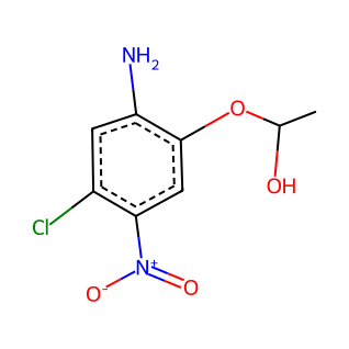 CC(O)Oc1cc([N+](=O)[O-])c(Cl)cc1N